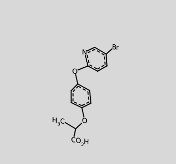 CC(Oc1ccc(Oc2ccc(Br)cn2)cc1)C(=O)O